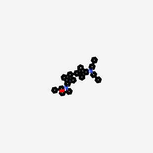 C1=CCC2C(=C1)C(c1ccccc1)(c1ccc(-c3cccc(C4(c5ccccc5)c5ccccc5-c5cc(N(c6ccc(-c7ccccc7)cc6)c6ccccc6-c6ccccc6)ccc54)c3)cc1)c1ccc(N(c3ccc(-c4ccccc4)cc3)c3ccc(-c4ccccc4)cc3)cc12